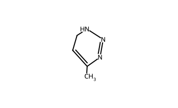 CC1=CCNN=N1